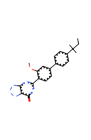 CCOc1cc(-c2ccc(C(C)(C)CC(=O)O)cc2)ccc1-c1nc2c(c(=O)[nH]1)NNN2